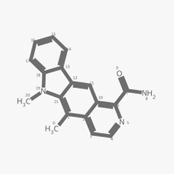 Cc1c2ccnc(C(N)=O)c2cc2c3ccccc3n(C)c12